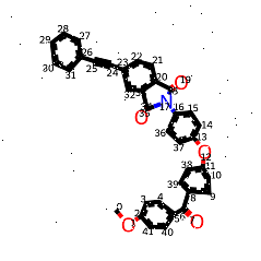 COc1ccc(C(=O)c2ccc(Oc3ccc(N4C(=O)c5ccc(C#Cc6ccccc6)cc5C4=O)cc3)cc2)cc1